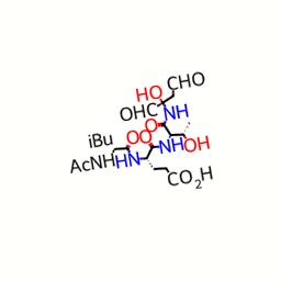 CC[C@H](C)[C@H](NC(C)=O)C(=O)N[C@@H](CCC(=O)O)C(=O)N[C@H](C(=O)N[C@@](O)(C=O)CC=O)[C@H](C)O